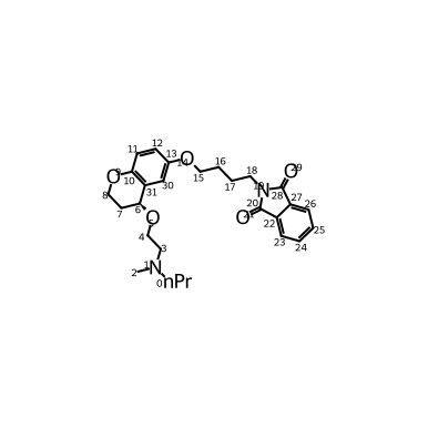 CCCN(C)CCO[C@H]1CCOc2ccc(OCCCCN3C(=O)c4ccccc4C3=O)cc21